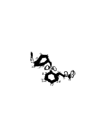 COc1ccc(CS(=O)(=O)C2CCCC=C2CCOC=O)cc1